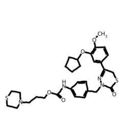 COc1ccc(C2=NN(Cc3ccc(NC(=O)OCCCN4CCSCC4)cc3)C(=O)SC2)cc1OC1CCCC1